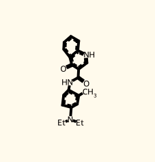 CCN(CC)c1ccc(NC(=O)c2c[nH]c3ccccc3c2=O)c(C)c1